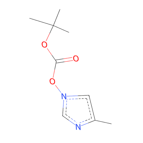 Cc1cn(OC(=O)OC(C)(C)C)cn1